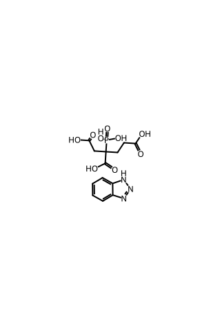 O=C(O)CCC(CC(=O)O)(C(=O)O)P(=O)(O)O.c1ccc2[nH]nnc2c1